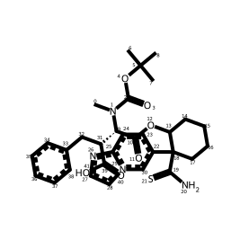 CN(C(=O)OC(C)(C)C)[C@H](C(=O)OC1CCCCC1(C(N)=S)c1ccc2nccn2c1)C(Cc1ccccc1)C(=O)O